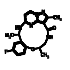 Cc1nn2ccc3nc2c1C(=O)NCC(C)Oc1ccc(F)cc1[C@@H](C)N3